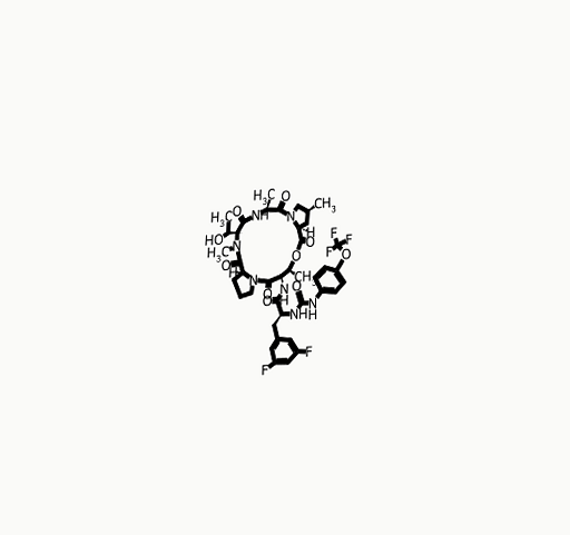 CC(O)[C@H]1C(=O)N[C@@H](C)C(=O)N2C[C@@H](C)C[C@H]2C(=O)O[C@@H](C)[C@H](NC(=O)[C@H](Cc2cc(F)cc(F)c2)NC(=O)Nc2ccc(OC(F)(F)F)cc2)C(=O)N2CCC[C@H]2C(=O)N1C